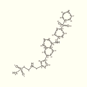 CS(=O)(=O)CCNCc1coc(-c2ccc3c(Nc4ccc(S(=O)(=O)c5ccccc5)cc4)ccnc3c2)c1